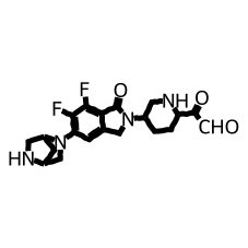 O=CC(=O)C1CCC(N2Cc3cc(N4CC5CC4CN5)c(F)c(F)c3C2=O)CN1